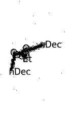 CCCCCCCCCCCCCCCCCC(=O)OCC(COC(=O)CCCCCCCCCCCCCCCCC)OC(=O)CC